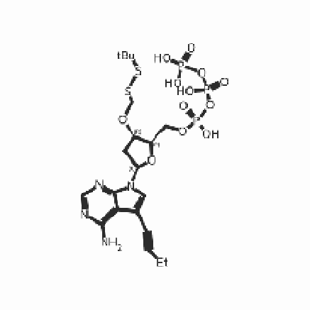 CCC#Cc1cn([C@H]2C[C@@H](OCSSC(C)(C)C)[C@@H](COP(=O)(O)OP(=O)(O)OP(=O)(O)O)O2)c2ncnc(N)c12